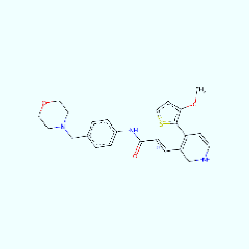 COc1ccsc1C1=C(/C=C/C(=O)Nc2ccc(CN3CCOCC3)cc2)CNC=C1